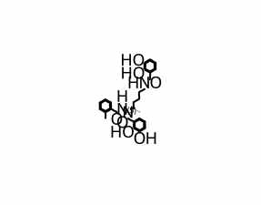 Cc1ccccc1C(=O)NN(C(=O)c1cccc(O)c1O)[C@@H](C)CCCCNC(=O)c1cccc(O)c1O